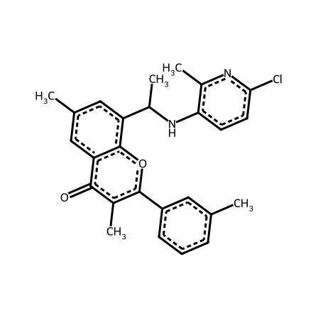 Cc1cccc(-c2oc3c(C(C)Nc4ccc(Cl)nc4C)cc(C)cc3c(=O)c2C)c1